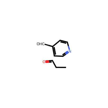 CCC=O.O=Cc1ccncc1